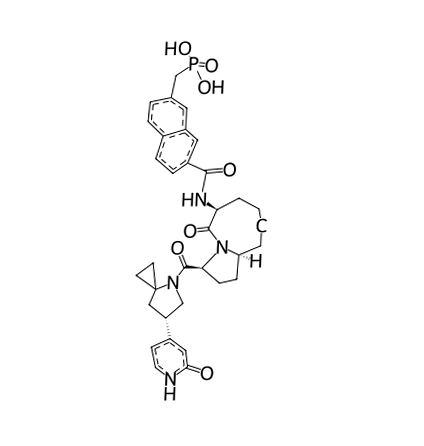 O=C(N[C@H]1CCCC[C@H]2CC[C@@H](C(=O)N3C[C@H](c4cc[nH]c(=O)c4)CC34CC4)N2C1=O)c1ccc2ccc(CP(=O)(O)O)cc2c1